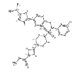 Cc1cccc(N(Cc2ccc(-c3nnc(C(F)F)o3)cn2)S(=O)(=O)C2CCN(C3CN(C(=O)CO)C3)CC2)c1